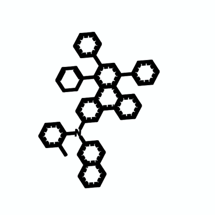 Cc1ccccc1N(c1ccc2ccccc2c1)c1ccc2c(c1)c1ccccc1c1c(-c3ccccc3)cc(-c3ccccc3)c(C3=CC=CCC3)c21